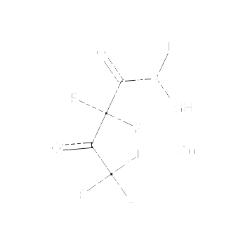 O=C(C(F)[SiH3])C(F)(F)C(=O)C(F)(F)F.[Cu]